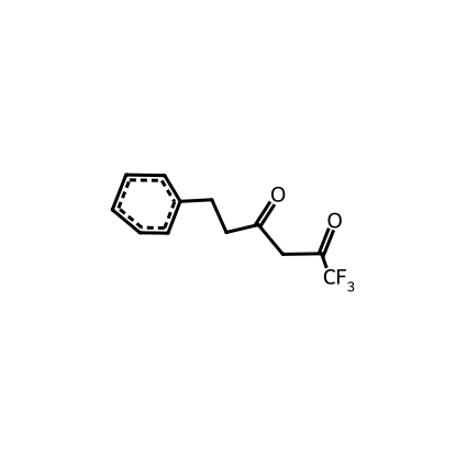 O=C(CCc1ccccc1)CC(=O)C(F)(F)F